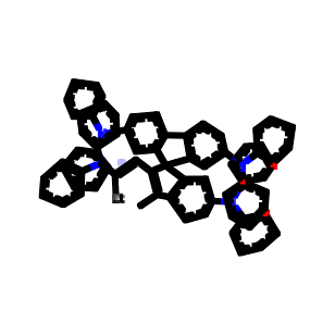 CC/C(=C\C1=C(C)c2ccc(N(c3ccccc3)c3ccccc3)cc2C12c1cc(N(c3ccccc3)c3ccccc3)ccc1-c1ccc(N(c3ccccc3)c3ccccc3)cc12)N(c1ccccc1)c1ccccc1